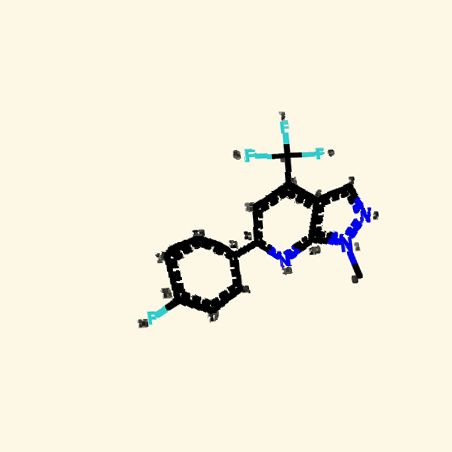 Cn1ncc2c(C(F)(F)F)cc(-c3ccc(F)cc3)nc21